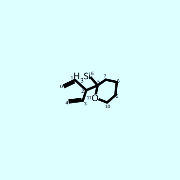 C=CC(C=C)C1([SiH3])CCCCO1